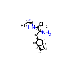 C=C(N/C=C\CC)C(N)CC1CC2=CCC2C1